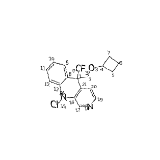 FC(F)(F)C1(COC2CCC2)c2ccccc2N(Cl)c2cnccc21